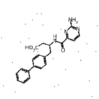 Nc1nccc(C(=O)NC(CC(=O)O)Cc2ccc(-c3ccccc3)cc2)n1